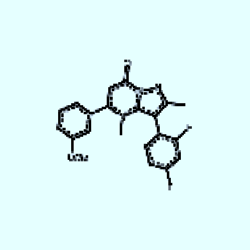 COc1cccc(-c2cc(=O)n3nc(C)c(-c4ccc(F)cc4F)c3n2C)c1